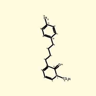 O=C(O)n1cccc(CCCCc2ccc(C(F)(F)F)cc2)c1=O